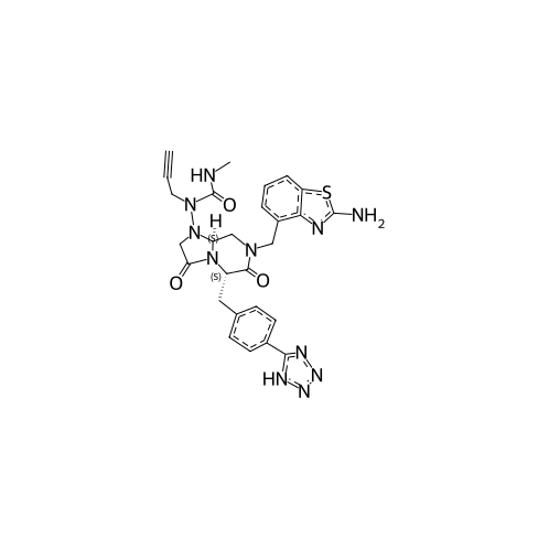 C#CCN(C(=O)NC)N1CC(=O)N2[C@@H](Cc3ccc(-c4nnn[nH]4)cc3)C(=O)N(Cc3cccc4sc(N)nc34)C[C@@H]21